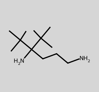 CC(C)(C)C(N)(CCCN)C(C)(C)C